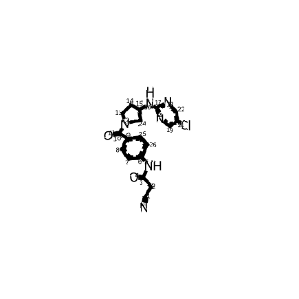 N#CCC(=O)Nc1ccc(C(=O)N2CCC(Nc3ncc(Cl)cn3)C2)cc1